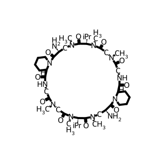 CC(C)[C@H]1C(=O)N(C)C[C@@H](N)C(=O)N2CCCC[C@H]2C(=O)NCC(=O)N(C)CC(=O)N(C)[C@@H](C(C)C)C(=O)N(C)C[C@@H](N)C(=O)N2CCCC[C@H]2C(=O)NCC(=O)N(C)CC(=O)N1C